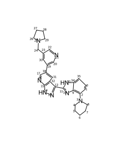 c1cc(N2CCCCC2)c2nc(-c3n[nH]c4ncc(-c5cncc(CN6CCCC6)c5)cc34)[nH]c2c1